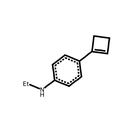 CCNc1ccc(C2=CCC2)cc1